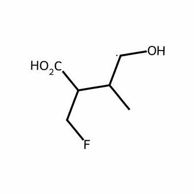 CC([CH]O)C(CF)C(=O)O